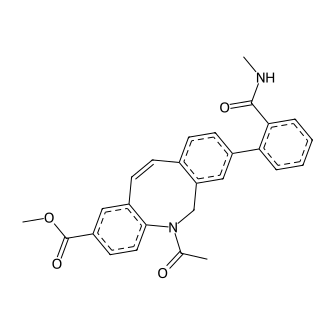 CNC(=O)c1ccccc1-c1ccc2c(c1)CN(C(C)=O)c1ccc(C(=O)OC)cc1C=C2